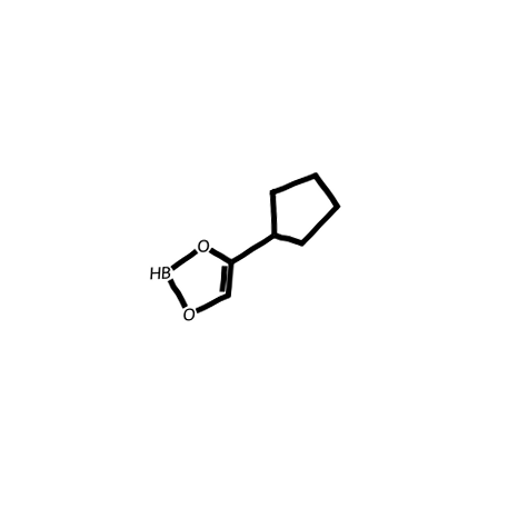 B1OC=C(C2CCCC2)O1